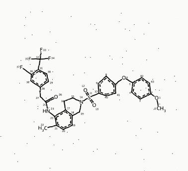 COc1ccc(Oc2ccc(S(=O)(=O)N3CCc4c(ccc(C)c4NC(=O)Cc4ccc(C(F)(F)F)c(F)c4)C3)cc2)cc1